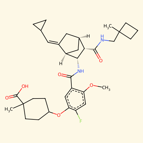 COc1cc(F)c(OC2CCC(C)(C(=O)O)CC2)cc1C(=O)N[C@H]1[C@@H](C(=O)NCC2(C)CCC2)[C@@H]2C/C(=C\C3CC3)[C@H]1C2